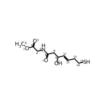 COC(=O)CNC(=O)CC(O)/C=C/CCS